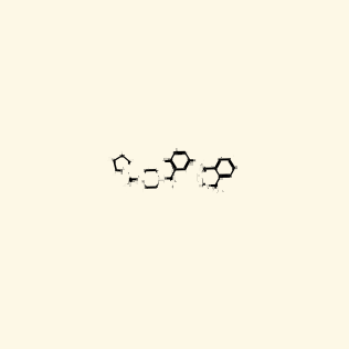 O=C(c1cc(Oc2n[nH]c(=O)c3ccccc23)ccc1F)N1CCN(C(=O)N2CCCC2)CC1